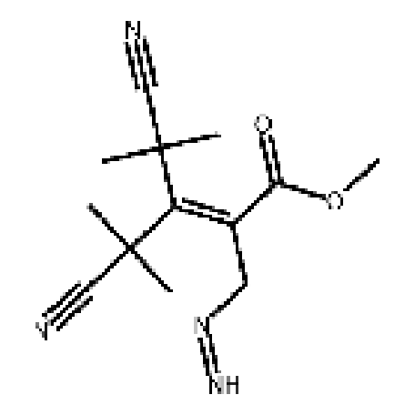 COC(=O)C(CN=N)=C(C(C)(C)C#N)C(C)(C)C#N